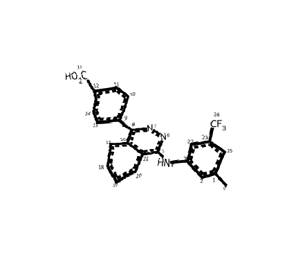 Cc1cc(Nc2nnc(-c3ccc(C(=O)O)cc3)c3ccccc23)cc(C(F)(F)F)c1